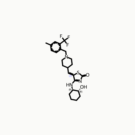 Cc1ccc(CN2CCC(/C=C3\SC(=O)N=C3N[C@@H]3CCCC[C@H]3O)CC2)c(C(F)(F)F)c1